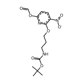 CC(C)(C)OC(=O)NCCCOc1nc(OC=O)ccc1[N+](=O)[O-]